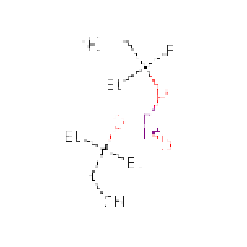 CCC(CC)(CC#N)O[PH](=O)OC(CC)(CC)CC#N